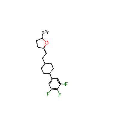 CCCC1CCC(CCC2CCC(c3cc(F)c(F)c(F)c3)CC2)O1